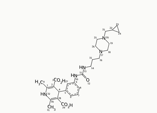 CC1=C(C(=O)O)C(c2cccc(NC(=O)NCCCN3CCN(CC4CC4)CC3)c2)C(C(=O)O)=C(C)N1